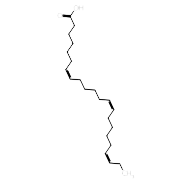 CC/C=C\CCCC/C=C\CCCC/C=C\CCCCCC(=O)O